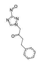 O=Nc1ncn(CC(=O)CCc2ccccc2)n1